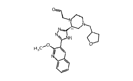 COc1nc2ccccc2cc1-c1nnc([C@@H]2CN(CC3CCOC3)CCN2CC=O)[nH]1